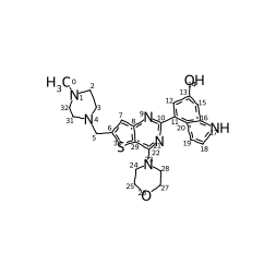 CN1CCN(Cc2cc3nc(-c4cc(O)cc5[nH]ccc45)nc(N4CCOCC4)c3s2)CC1